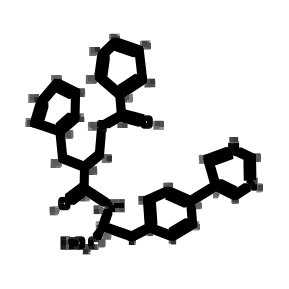 CCOC(=O)[C@H](Cc1ccc(-c2cncnc2)cc1)NC(=O)C(CSC(=O)c1ccccc1)Cc1ccccc1